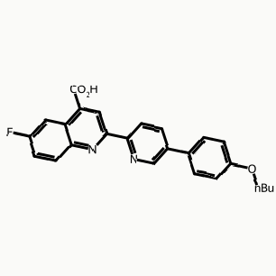 CCCCOc1ccc(-c2ccc(-c3cc(C(=O)O)c4cc(F)ccc4n3)nc2)cc1